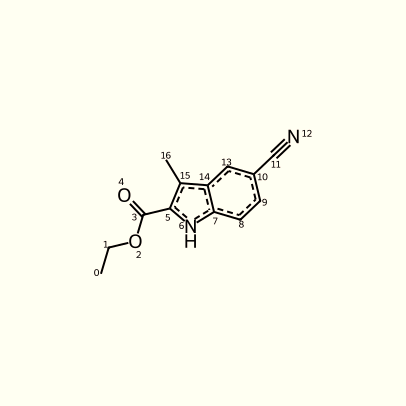 CCOC(=O)c1[nH]c2ccc(C#N)cc2c1C